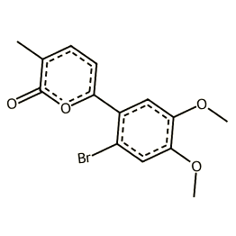 COc1cc(Br)c(-c2ccc(C)c(=O)o2)cc1OC